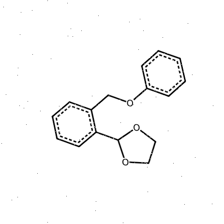 c1ccc(OCc2ccccc2C2OCCO2)cc1